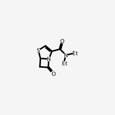 CCN(CC)C(=O)C1=CSC2CC(=O)N12